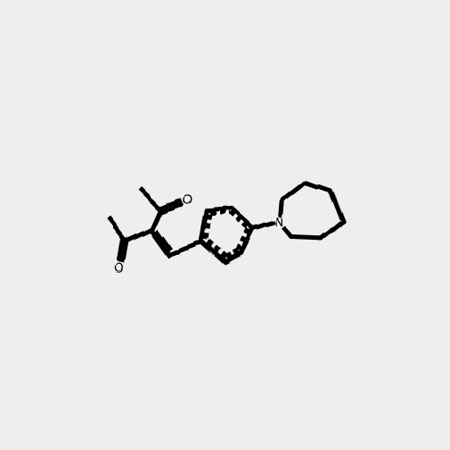 CC(=O)C(=Cc1ccc(N2CCCCCC2)cc1)C(C)=O